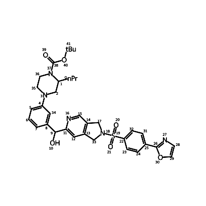 CCCC1CN(c2cccc(C(O)c3cc4c(cn3)CN(S(=O)(=O)c3ccc(-c5ncco5)cc3)C4)c2)CCN1C(=O)OC(C)(C)C